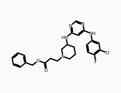 O=C(CCN1CCCC(Nc2cc(Nc3ccc(F)c(Cl)c3)ncn2)C1)OCc1ccccc1